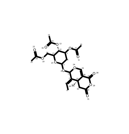 C/C=C1/C(OC2CC(OC(C)=O)[C@@H](OC(C)=O)C(COC(C)=O)O2)OC=C2C(=O)OC(=O)C[C@H]21